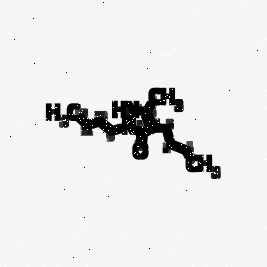 CCCCc1c(C)[nH]n(CCCC)c1=O